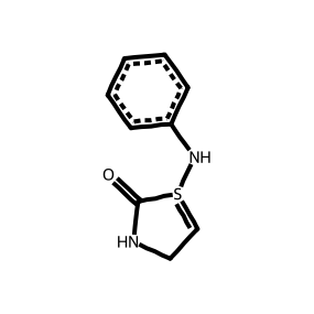 O=C1NCC=S1Nc1ccccc1